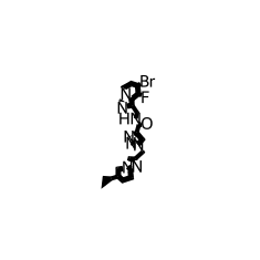 O=C(NCc1ncn2ccc(Br)c(F)c12)c1cn(Cc2cn3cc(C4CC4)ccc3n2)nn1